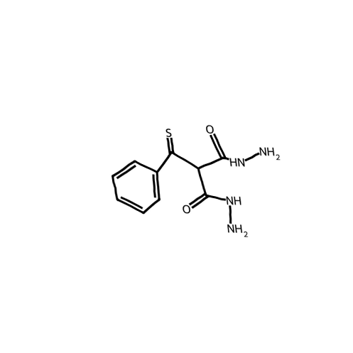 NNC(=O)C(C(=O)NN)C(=S)c1ccccc1